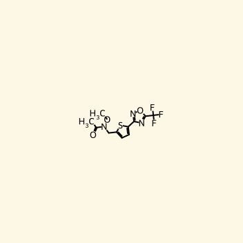 CON(Cc1ccc(-c2noc(C(F)(F)F)n2)s1)C(C)=O